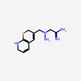 N=C(N)CN(N)CC1=CC2=C(NCC=C2)SC1